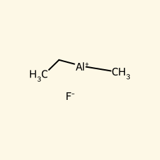 C[CH2][Al+][CH3].[F-]